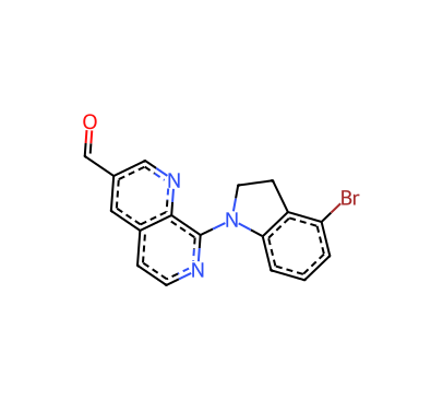 O=Cc1cnc2c(N3CCc4c(Br)cccc43)nccc2c1